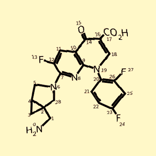 NCC12CC1CN(c1nc3c(cc1F)c(=O)c(C(=O)O)cn3-c1ccc(F)cc1F)C2